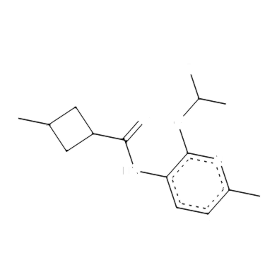 Cc1ccc(NC(=O)C2CC(C)C2)c(OC(F)F)n1